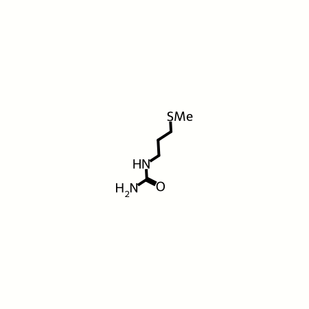 CSCCCNC(N)=O